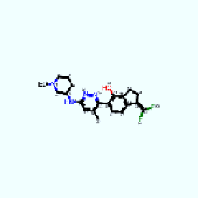 CCN1CCC[C@@H](Nc2cc(C)c(-c3ccc4c(c3O)CCC4=C(F)F)nn2)C1